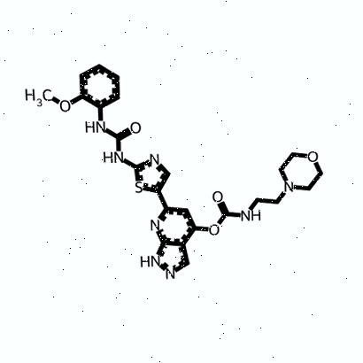 COc1ccccc1NC(=O)Nc1ncc(-c2cc(OC(=O)NCCN3CCOCC3)c3cn[nH]c3n2)s1